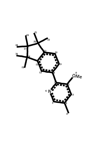 COc1cc(C)cnc1-c1ccc2c(c1)C(C)(C)C(C)(C)C2(C)C